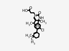 CC(C)C1=CN(CCC(=O)O)C(=O)NC1(C)c1ccc(C2=CC(C)(C)CCC2)c(Cl)c1